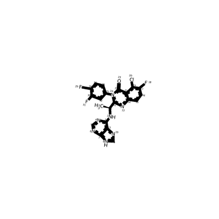 C[C@H](Nc1ncnc2[nH]cnc12)c1nc2ccc(F)c(Cl)c2c(=O)n1-c1ccc(F)c(F)c1